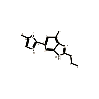 CCCc1nc2c(C)cc(-c3ncc(C)o3)cc2[nH]1